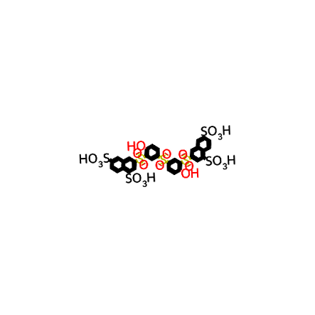 O=S(=O)(O)c1ccc2c(S(=O)(=O)O)cc(S(=O)(=O)c3cc(S(=O)(=O)c4ccc(O)c(S(=O)(=O)c5cc(S(=O)(=O)O)c6ccc(S(=O)(=O)O)cc6c5)c4)ccc3O)cc2c1